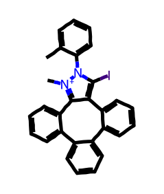 Cc1ccccc1-n1c(I)c2c([n+]1C)-c1ccccc1-c1ccccc1-c1ccccc1-2